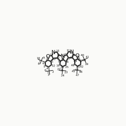 CC(C)(C)c1cc(C(C)(C)C)c2oc3ncc4c(c5cc(C(C)(C)C)cc6c7c8c(ncc7n4c56)oc4c(C(C)(C)C)cc(C(C)(C)C)cc48)c3c2c1